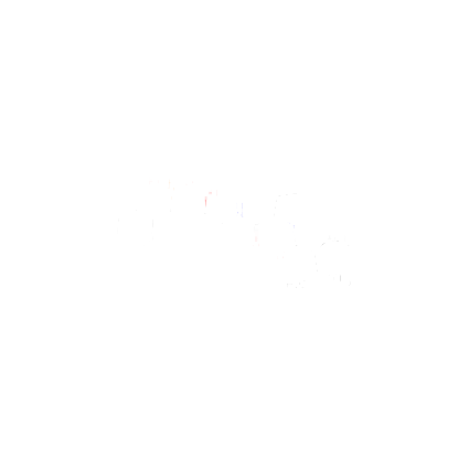 CC(C)[C@H]([AsH2])C(=O)N1CCC[C@H]1C(=O)NC[C@H](O)CC(C1CCCCC1)[PH](=O)O